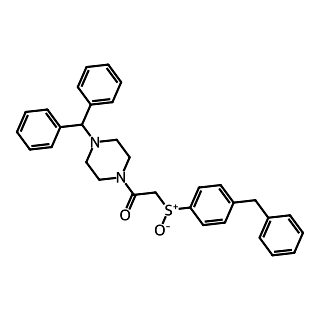 O=C(C[S+]([O-])c1ccc(Cc2ccccc2)cc1)N1CCN(C(c2ccccc2)c2ccccc2)CC1